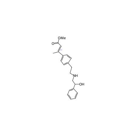 COC(=O)/C=C(\C)c1ccc(CCNCC(O)c2ccccc2)cc1